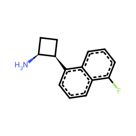 N[C@H]1CC[C@H]1c1cccc2c(F)cccc12